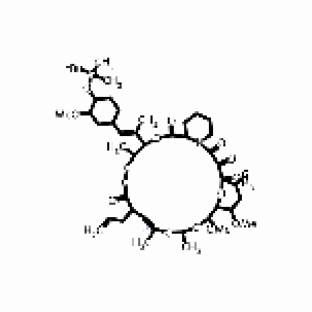 C=CCC1/C=C(\C)CC(C)CC(OC)C2OC(O)(C(=O)C(=O)N3CCCCC3C(=O)OC(C(C)=CC3CCC(O[Si](C)(C)C(C)(C)C)C(OC)C3)C(C)CCC1=O)C(C)CC2OC